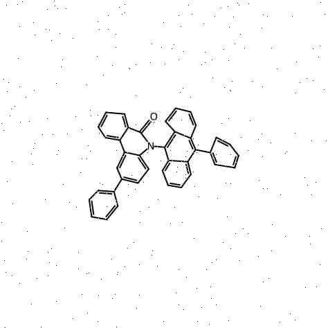 O=c1c2ccccc2c2cc(-c3ccccc3)ccc2n1-c1c2ccccc2c(-c2ccccc2)c2ccccc12